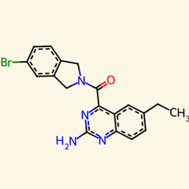 CCc1ccc2nc(N)nc(C(=O)N3Cc4ccc(Br)cc4C3)c2c1